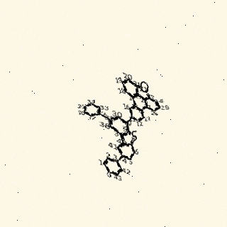 c1ccc(-c2ccc3sc4c(-c5ccc6c(c5)c5cccc7oc8cccc6c8c75)cc(-c5ccccc5)cc4c3c2)cc1